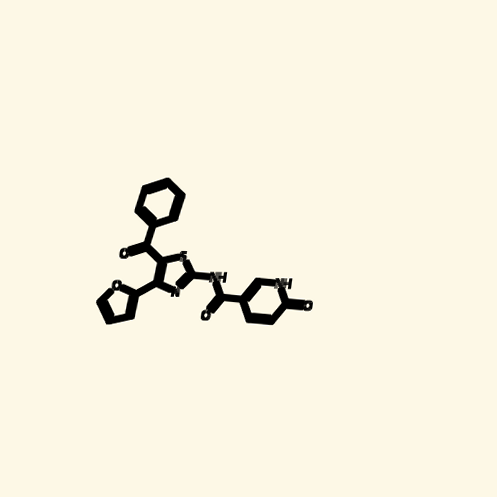 O=C(Nc1nc(-c2ccco2)c(C(=O)c2ccccc2)s1)c1ccc(=O)[nH]c1